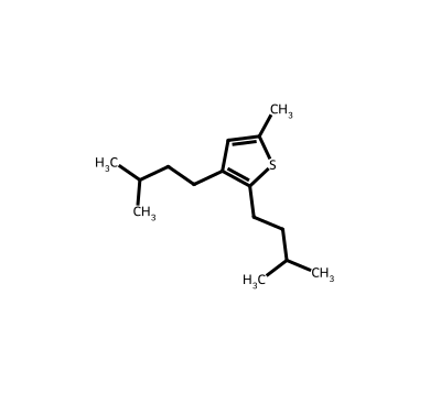 Cc1cc(CCC(C)C)c(CCC(C)C)s1